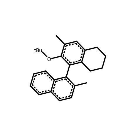 Cc1cc2c(c(-c3c(C)ccc4ccccc34)c1OC(C)(C)C)CCCC2